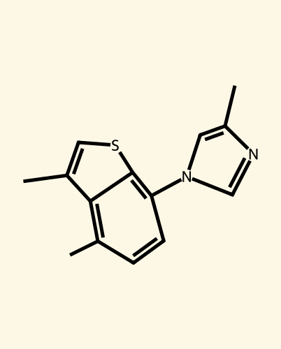 Cc1cn(-c2ccc(C)c3c(C)csc23)cn1